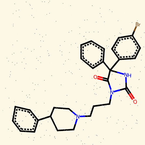 O=C1NC(c2ccccc2)(c2ccc(Br)cc2)C(=O)N1CCCN1CCC(c2ccccc2)CC1